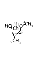 CO[Si]OC.Cl.Cl